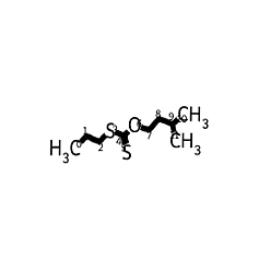 CCCSC(=S)OCCC(C)C